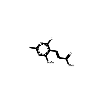 CNc1nc(C)nc(Cl)c1/C=C/C(=O)OC